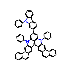 c1ccc(N2c3cc4c(ccc5ccccc54)cc3B3c4cc5ccc6ccccc6c5cc4N(c4ccccc4)c4cc(-c5ccc6c7ccccc7n(-c7ccccc7)c6c5)cc2c43)cc1